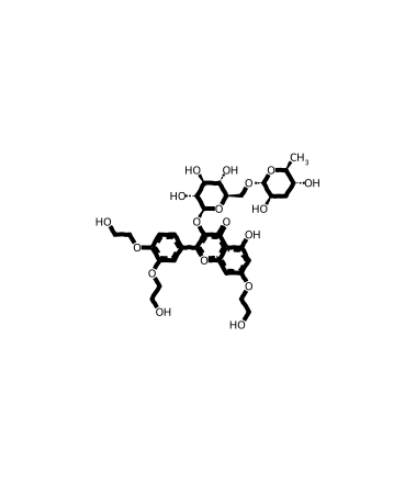 C[C@@H]1O[C@@H](OC[C@H]2O[C@@H](Oc3c(-c4ccc(OCCO)c(OCCO)c4)oc4cc(OCCO)cc(O)c4c3=O)[C@H](O)[C@@H](O)[C@@H]2O)[C@H](O)C[C@H]1O